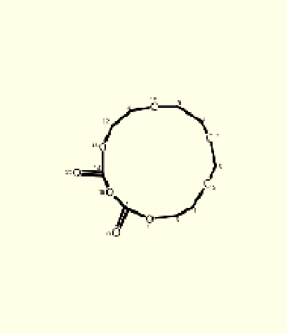 O=C1OCCCCCCCCCCOC(=O)O1